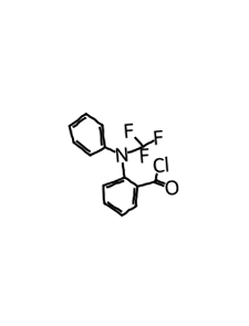 O=C(Cl)c1ccccc1N(c1ccccc1)C(F)(F)F